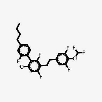 CCCCc1ccc(-c2c([O])cc(F)c(CCc3cc(F)c(OC(F)F)c(F)c3)c2F)c(F)c1